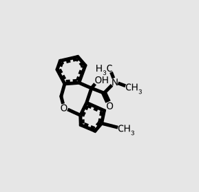 Cc1ccc2c(c1)C(O)(C(=O)N(C)C)c1ccccc1CO2